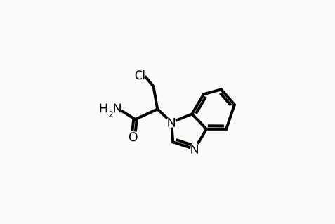 NC(=O)C(CCl)n1cnc2ccccc21